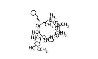 CO[C@H]1C[C@@H](C)C/C(C)=C/[C@@H](C/C=C/CC2CCCCC2)C(=O)C[C@H](O)[C@@H](C)[C@@H](/C(C)=C/[C@@H]2CC[C@@H](O)[C@H](OC)C2)OC(=O)[C@@H]2CCCCN2C(=O)C(=O)[C@]2(O)O[C@H]1[C@@H](OC)C[C@H]2C